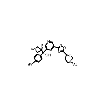 CC(=O)N1CCC(c2nc(-c3cncc([C@@](O)(c4ccc(C(C)C)cc4)C4(F)CN(C)C4)c3)no2)CC1